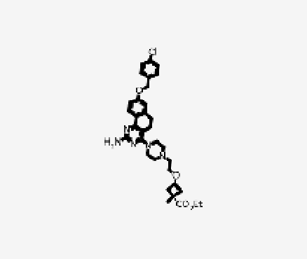 CCOC(=O)[C@]1(C)C[C@@H](OCCN2CCN(c3nc(N)nc4c3CCc3cc(OCc5ccc(Cl)cc5)ccc3-4)CC2)C1